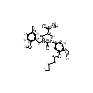 CCCCCOc1cc(N2CC(C(=O)NC)CN(Cc3cc(F)ccc3OC)C2=O)ccc1OC